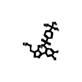 CSCc1nnc(-c2cc(Cl)c(F)cc2NS(=O)(=O)c2ccc(C(C)(C)C)cc2)n1C